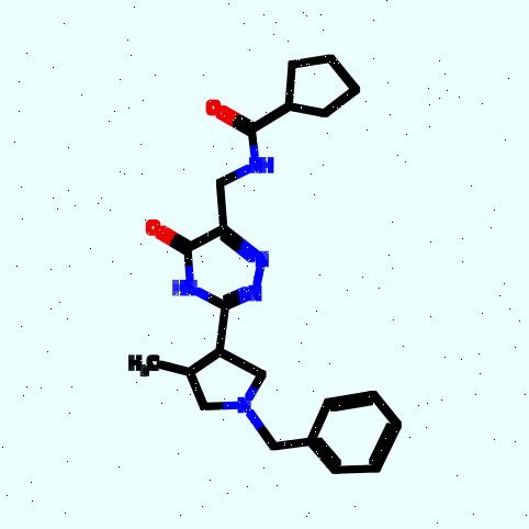 CC1CN(Cc2ccccc2)CC1c1nnc(CNC(=O)C2CCCC2)c(=O)[nH]1